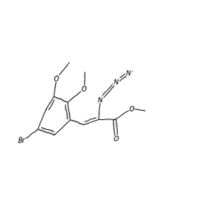 COC(=O)/C(=C/c1cc(Br)cc(OC)c1OC)N=[N+]=[N-]